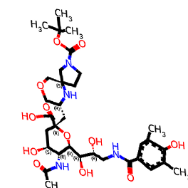 CC(=O)N[C@H]1[C@H]([C@H](O)[C@H](O)CNC(=O)c2cc(C)c(O)c(C)c2)O[C@@](C[C@@H]2COC[C@@]3(CCN(C(=O)OC(C)(C)C)C3)N2)(C(=O)O)C[C@@H]1O